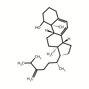 C=C(CC[C@@H](C)[C@H]1CC[C@H]2C3=CC=C4CCCC(O)[C@]4(C)[C@H]3CC[C@]12C)C(C)C